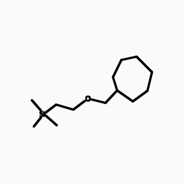 C[Si](C)(C)CCOCC1CCCCCC1